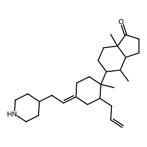 C=CCC1C/C(=C/CC2CCNCC2)CCC1(C)C1CCC2(C)C(=O)CCC2C1C